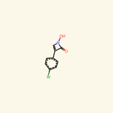 O=C1C(c2ccc(Br)cc2)=CN1O